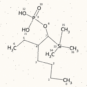 CCCCC(CC)C(OP(=O)(O)O)[Si](C)(C)C